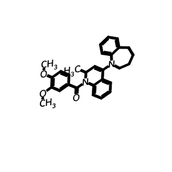 COc1ccc(C(=O)N2c3ccccc3C(N3CCCCc4ccccc43)=CC2C)cc1OC